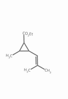 CCOC(=O)C1C(C)C1C=C(C)C